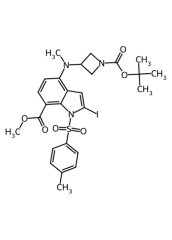 COC(=O)c1ccc(N(C)C2CN(C(=O)OC(C)(C)C)C2)c2cc(I)n(S(=O)(=O)c3ccc(C)cc3)c12